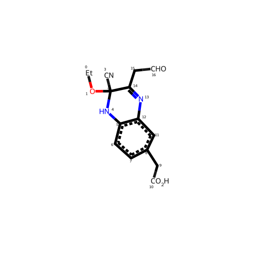 CCOC1(C#N)Nc2ccc(CC(=O)O)cc2N=C1CC=O